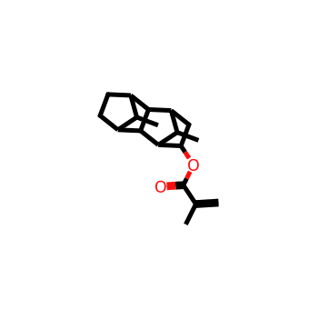 C=C(C)C(=O)OC1CC2C(C)C1C1C3CCC(C3C)C21